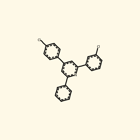 Clc1ccc(-c2cc(-c3ccccc3)nc(-c3cccc(Cl)c3)c2)cc1